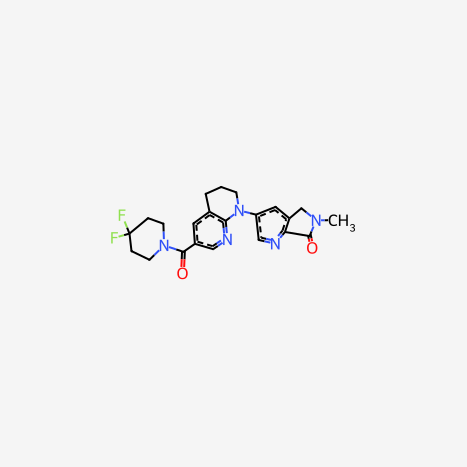 CN1Cc2cc(N3CCCc4cc(C(=O)N5CCC(F)(F)CC5)cnc43)cnc2C1=O